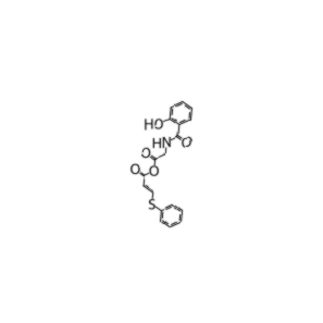 O=C(C=CSc1ccccc1)OC(=O)CNC(=O)c1ccccc1O